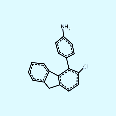 Nc1ccc(-c2c(Cl)ccc3c2-c2ccccc2C3)cc1